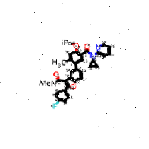 CNC(=O)c1c(-c2ccc(F)cc2)oc2ccc(-c3cc(C(=O)N(c4ccccn4)C4CC4)c(OC(C)C)cc3C)cc12